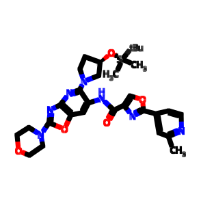 Cc1cc(-c2nc(C(=O)Nc3cc4oc(N5CCOCC5)nc4nc3N3CC[C@@H](O[Si](C)(C)C(C)(C)C)C3)co2)ccn1